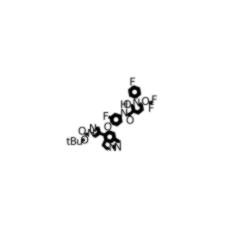 CC(C)(C)OC(=O)n1cc(-c2c(Oc3ccc(NC(=O)c4ccc(OC(F)F)n(-c5ccc(F)cc5)c4=O)cc3F)cc3cnn4c3c2CC4)cn1